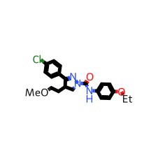 CCOc1ccc(NC(=O)N2CC(CCOC)C(c3ccc(Cl)cc3)=N2)cc1